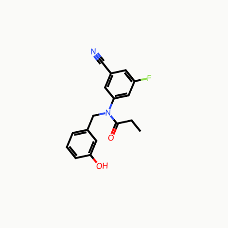 CCC(=O)N(Cc1cccc(O)c1)c1cc(F)cc(C#N)c1